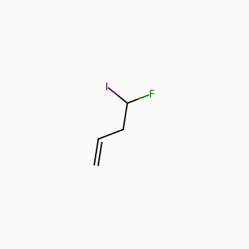 C=CCC(F)I